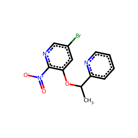 CC(Oc1cc(Br)cnc1[N+](=O)[O-])c1ccccn1